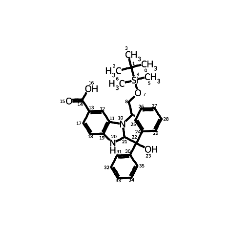 CC(C)(C)[Si](C)(C)OCCN1c2cc(C(=O)O)ccc2NC1C(O)(c1ccccc1)c1ccccc1